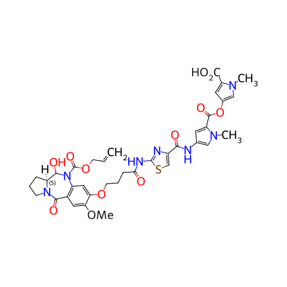 C=CCOC(=O)N1c2cc(OCCCC(=O)Nc3nc(C(=O)Nc4cc(C(=O)Oc5cc(C(=O)O)n(C)c5)n(C)c4)cs3)c(OC)cc2C(=O)N2CCC[C@H]2C1O